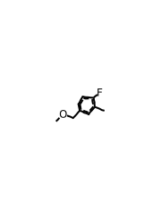 COCc1ccc(F)c(C)c1